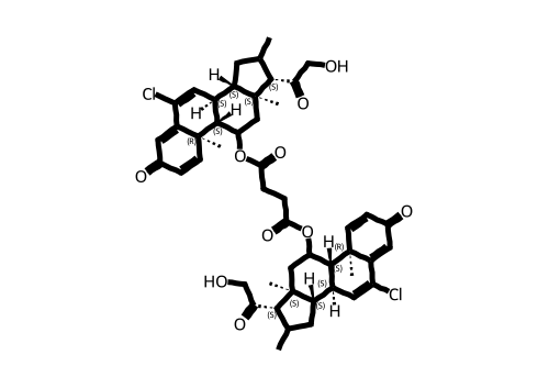 CC1C[C@H]2[C@@H]3C=C(Cl)C4=CC(=O)C=C[C@]4(C)[C@H]3C(OC(=O)CCC(=O)OC3C[C@]4(C)[C@@H](C(=O)CO)C(C)C[C@H]4[C@@H]4C=C(Cl)C5=CC(=O)C=C[C@]5(C)[C@@H]34)C[C@]2(C)[C@H]1C(=O)CO